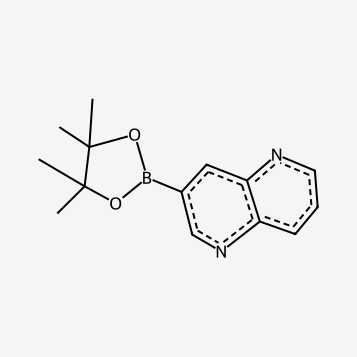 CC1(C)OB(c2cnc3cccnc3c2)OC1(C)C